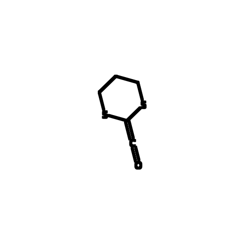 O=C=C1SCCCS1